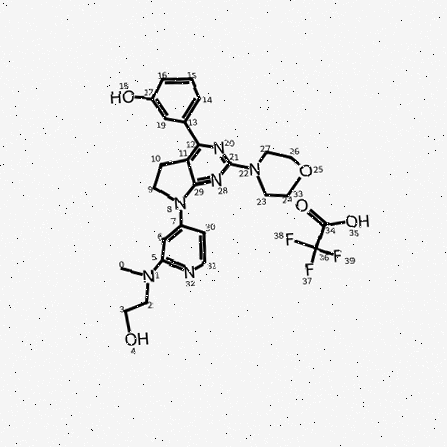 CN(CCO)c1cc(N2CCc3c(-c4cccc(O)c4)nc(N4CCOCC4)nc32)ccn1.O=C(O)C(F)(F)F